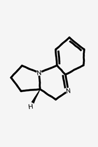 C1=CCC2=NC[C@@H]3CCCN3C2=C1